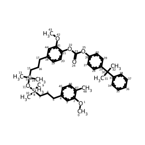 COc1cc(CCC[Si](C)(C)O[Si](C)(C)CCCc2ccc(OC(=O)Oc3ccc(C(C)(C)c4ccccc4)cc3)c(OC)c2)ccc1C